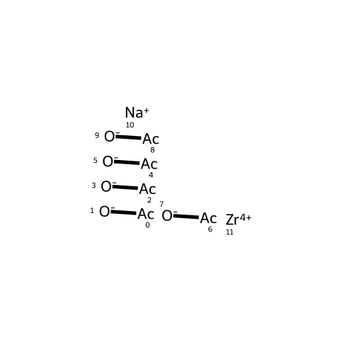 CC(=O)[O-].CC(=O)[O-].CC(=O)[O-].CC(=O)[O-].CC(=O)[O-].[Na+].[Zr+4]